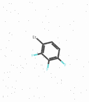 [CH2]Cc1ccc(F)c(F)c1F